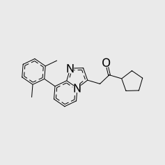 Cc1cccc(C)c1-c1cccn2c(CC(=O)C3CCCC3)cnc12